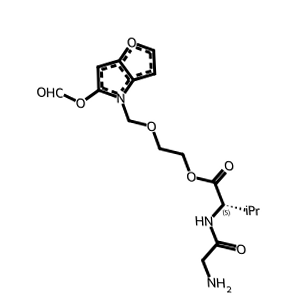 CC(C)[C@H](NC(=O)CN)C(=O)OCCOCn1c(OC=O)cc2occc21